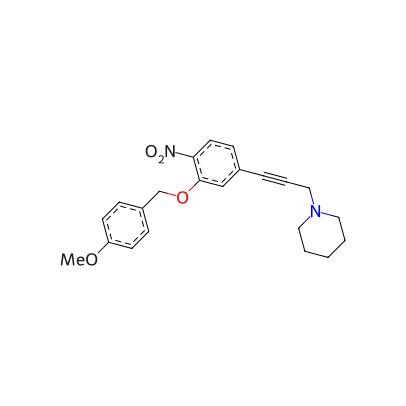 COc1ccc(COc2cc(C#CCN3CCCCC3)ccc2[N+](=O)[O-])cc1